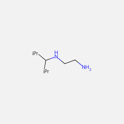 CC(C)C(NCCN)C(C)C